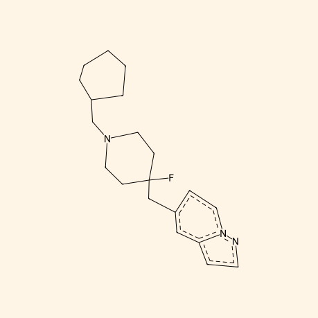 FC1(Cc2ccn3nccc3c2)CCN(CC2CCCCC2)CC1